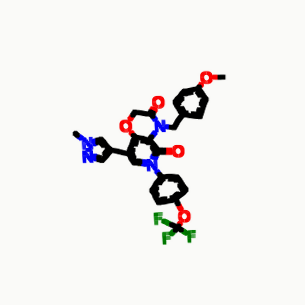 COc1ccc(CN2C(=O)COc3c(-c4cnn(C)c4)cn(-c4ccc(OC(F)(F)F)cc4)c(=O)c32)cc1